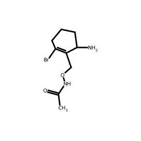 CC(=O)NOCC1=C(Br)CCCC1N